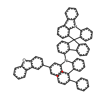 c1ccc(-c2ccccc2-c2ccccc2N(c2cccc(-c3ccc4oc5ccccc5c4c3)c2)c2cccc3c2-c2ccccc2C32c3ccccc3-n3c4ccccc4c4cccc2c43)cc1